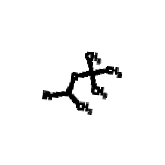 CC(C)N(C)OC(C)(C)C